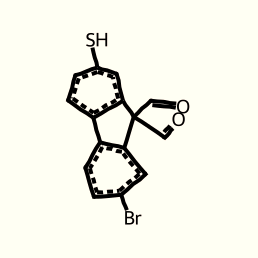 O=CC1(C=O)c2cc(S)ccc2-c2ccc(Br)cc21